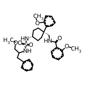 COCC(Cc1ccccc1)NS(=O)(=O)N[C@H]1CC[C@](CNC(=O)c2ccccc2OC)(c2ccccc2OC)CC1